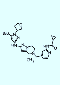 C[C@@H]1c2cc(Nc3cc(C(C)(C)C)n([C@H]4CCOC4)n3)nn2CCN1Cc1ccnc(NC(=O)C2CC2)c1